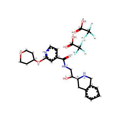 O=C(NCC(O)[C@@H]1Cc2ccccc2CN1)c1ccnc(OC2CCOCC2)c1.O=C(O)C(F)(F)F.O=C(O)C(F)(F)F